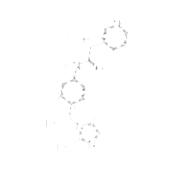 Cc1nccn1[C@H](C)c1ccc(NC(=O)[C@H](O)c2cccnc2)cc1